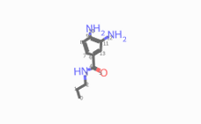 CCCNC(=O)c1ccc(N)c(N)c1